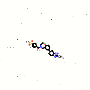 CCS(=O)(=O)c1ccc(C(=O)N2CCOc3ccc(-c4ccc5nc(C)[nH]c5c4)cc3C2)cc1.Cl